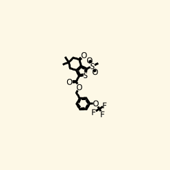 CC1(C)CC(=O)c2c(S(C)(=O)=O)sc(C(=O)OCc3cccc(OC(F)(F)F)c3)c2C1